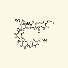 COc1ccc(Oc2ccc(C(=O)c3ccc(Oc4ccc(Oc5ccc(C(=O)c6ccc(C)cc6)cc5)c(S(=O)(=O)O)c4)cc3)cc2)cc1